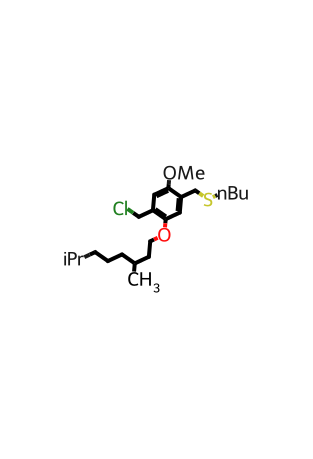 CCCCSCc1cc(OCCC(C)CCCC(C)C)c(CCl)cc1OC